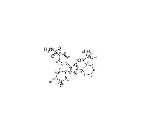 CN(O)C(=O)C1CCCCC1c1nc(-c2ccc(F)c(Cl)c2)c(-c2ccc(S(N)(=O)=O)cc2)o1